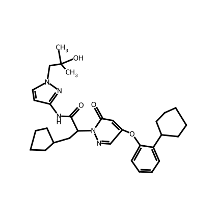 CC(C)(O)Cn1ccc(NC(=O)C(CC2CCCC2)n2ncc(Oc3ccccc3C3CCCCC3)cc2=O)n1